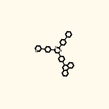 c1ccc(-c2ccc(-c3nc(-c4ccc(-c5cccnc5)cc4)cc(-c4ccc(-c5cc6ccccc6c6ccccc56)cc4)n3)cc2)cc1